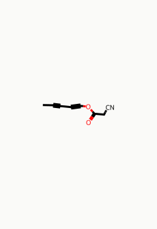 CC#CC#COC(=O)CC#N